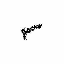 Cn1cc(-c2cn3ncc(C#N)c3c(-c3ccc(N4CCN(C(=O)Cc5ccc(F)cn5)CC4)nc3)n2)cn1